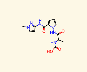 CC(NC(=O)O)C(=O)Nn1cccc1C(=O)Nc1ccn(C)n1